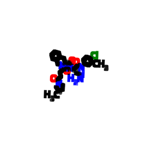 Cc1cc(NC(=O)[C@H](CCN)NC(=O)[C@@H]2Cc3ccccc3CN2C(=O)CCC(=O)N2CC[C@@H](C)C2)ccc1Cl